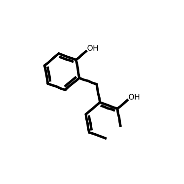 C/C=C\C(Cc1ccccc1O)=C(/C)O